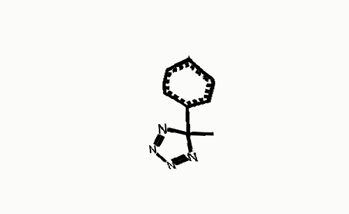 CC1(c2cc[c]cc2)N=NN=N1